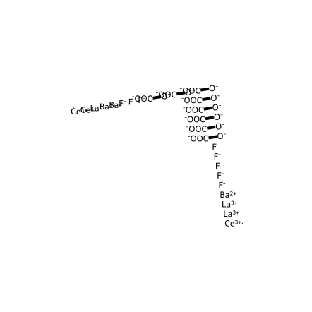 O=C([O-])[O-].O=C([O-])[O-].O=C([O-])[O-].O=C([O-])[O-].O=C([O-])[O-].O=C([O-])[O-].O=C([O-])[O-].O=C([O-])[O-].[Ba+2].[Ba+2].[Ba+2].[Ce+3].[Ce+3].[Ce+3].[F-].[F-].[F-].[F-].[F-].[F-].[F-].[F-].[La+3].[La+3].[La+3]